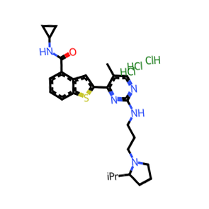 Cc1cnc(NCCCN2CCCC2C(C)C)nc1-c1cc2c(C(=O)NC3CC3)cccc2s1.Cl.Cl.Cl